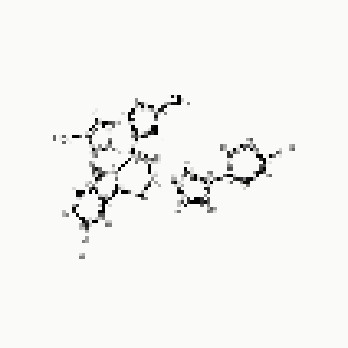 Cc1nc([C@]2(c3cnn(C)c3)N[C@H](c3nc(-c4ccc(F)cc4)n[nH]3)Cc3c2[nH]c2ccc(F)cc32)no1